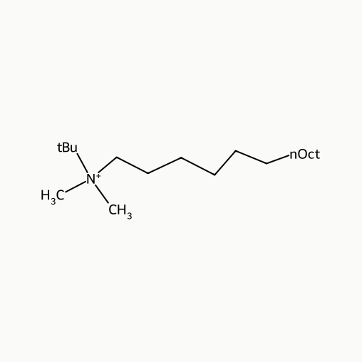 CCCCCCCCCCCCCC[N+](C)(C)C(C)(C)C